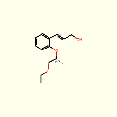 CCOC[C@@H](C)Oc1ccccc1/C=C/CO